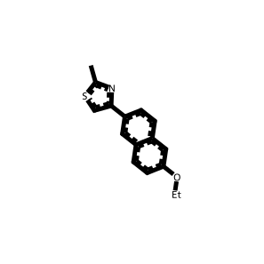 CCOc1ccc2cc(-c3csc(C)n3)ccc2c1